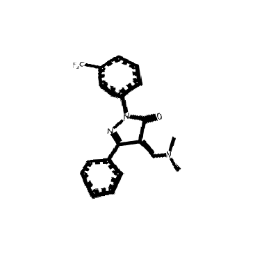 CN(C)C=C1C(=O)N(c2cccc(C(F)(F)F)c2)N=C1c1ccccc1